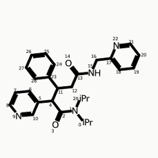 CC(C)N(C(=O)C(c1cccnc1)C(CC(=O)NCc1ccccn1)c1ccccc1)C(C)C